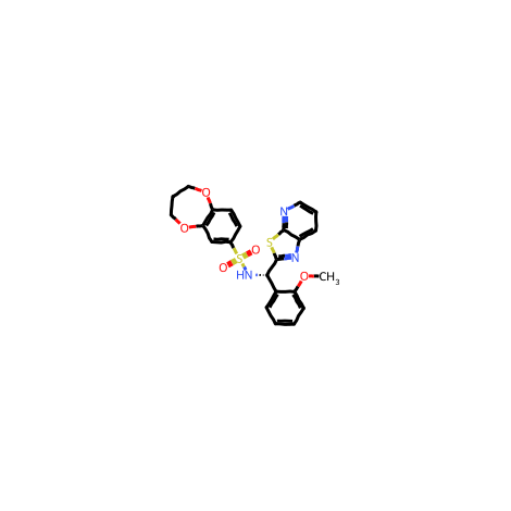 COc1ccccc1[C@H](NS(=O)(=O)c1ccc2c(c1)OCCCO2)c1nc2cccnc2s1